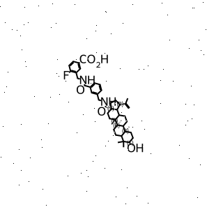 C=C(C)[C@@H]1CC[C@]2(C(=O)NCc3cccc(C(=O)NCc4cc(C(=O)O)ccc4F)c3)CC[C@]3(C)C(CCC4[C@@]5(C)CC[C@H](O)C(C)(C)C5CC[C@]43C)C12